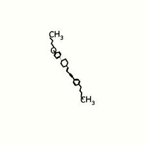 CCCCCOc1ccc([C@H]2CC[C@H](C=CC#Cc3ccc(CCCCC)cc3)CC2)cc1